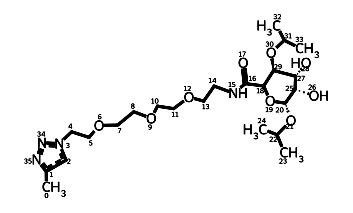 Cc1cn(CCOCCOCCOCCNC(=O)C2O[C@@H](OC(C)C)[C@@H](O)[C@@H](O)[C@@H]2OC(C)C)nn1